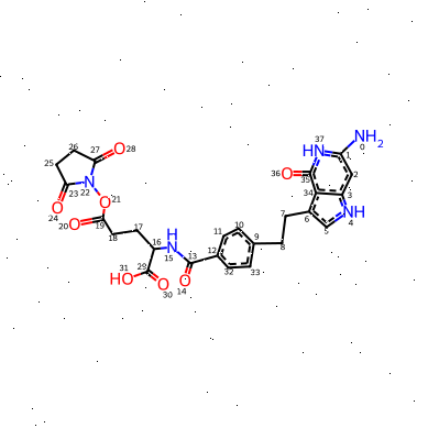 Nc1cc2[nH]cc(CCc3ccc(C(=O)NC(CCC(=O)ON4C(=O)CCC4=O)C(=O)O)cc3)c2c(=O)[nH]1